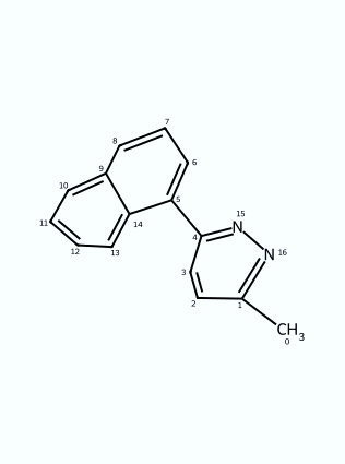 Cc1ccc(-c2cccc3ccccc23)nn1